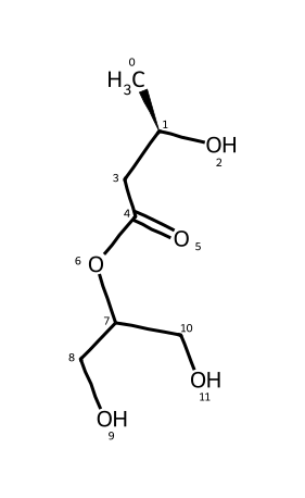 C[C@@H](O)CC(=O)OC(CO)CO